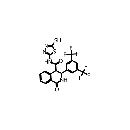 O=C1NC(c2cc(C(F)(F)F)cc(C(F)(F)F)c2)C(C(=O)Nc2nnc(S)s2)c2ccccc21